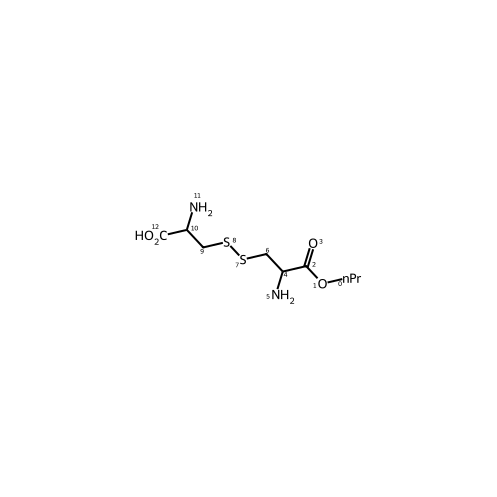 CCCOC(=O)C(N)CSSCC(N)C(=O)O